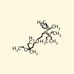 CCO[C@](C)(CC)CCOCCCN([Si](CC)(CC)CC)[Si](CC)(CC)CC